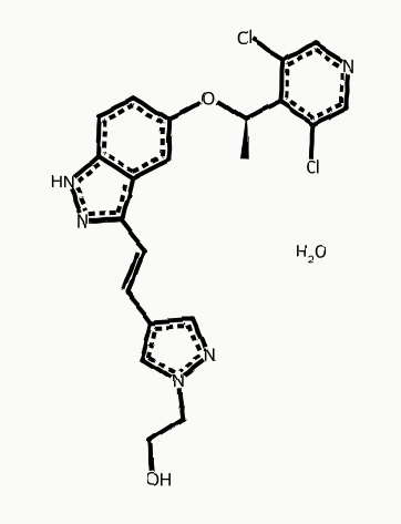 C[C@@H](Oc1ccc2[nH]nc(C=Cc3cnn(CCO)c3)c2c1)c1c(Cl)cncc1Cl.O